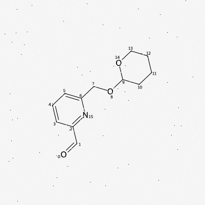 O=Cc1cccc(COC2CCCCO2)n1